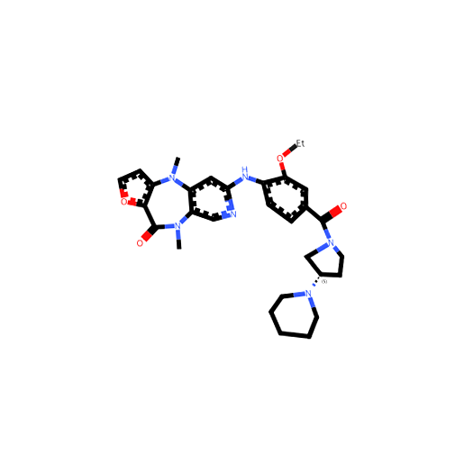 CCOc1cc(C(=O)N2CC[C@H](N3CCCCC3)C2)ccc1Nc1cc2c(cn1)N(C)C(=O)c1occc1N2C